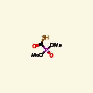 COP(=O)(OC)C(=O)S